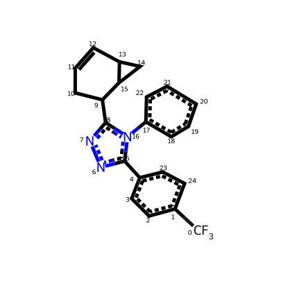 FC(F)(F)c1ccc(-c2nnc(C3CC=CC4CC43)n2-c2ccccc2)cc1